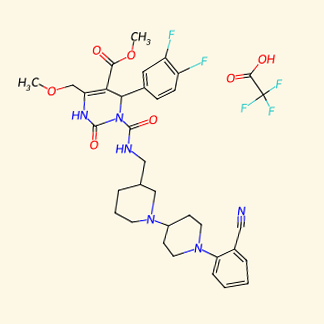 COCC1=C(C(=O)OC)C(c2ccc(F)c(F)c2)N(C(=O)NCC2CCCN(C3CCN(c4ccccc4C#N)CC3)C2)C(=O)N1.O=C(O)C(F)(F)F